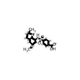 COc1cc(NS(=O)(=O)c2ccc(C(=O)O)cc2)c2nc(C)ccc2c1